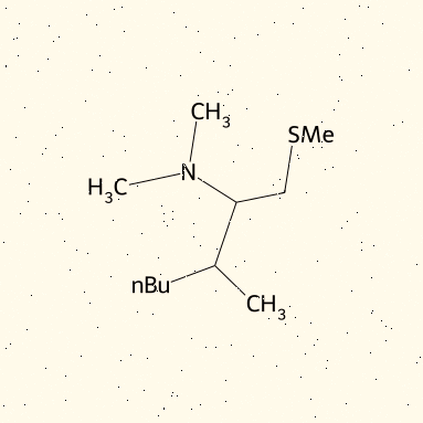 CCCCC(C)C(CSC)N(C)C